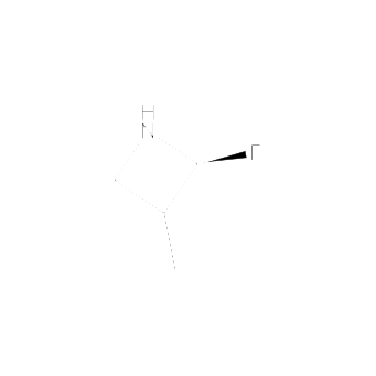 CC1CN[C@H]1F